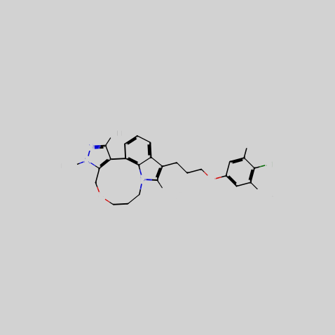 CCOC(=O)c1c(CCCOc2cc(C)c(Cl)c(C)c2)c2cccc3c2n1CCCOCc1c-3c(C)nn1C